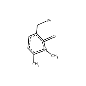 Cc1ccc(CC(C)C)c(=O)n1C